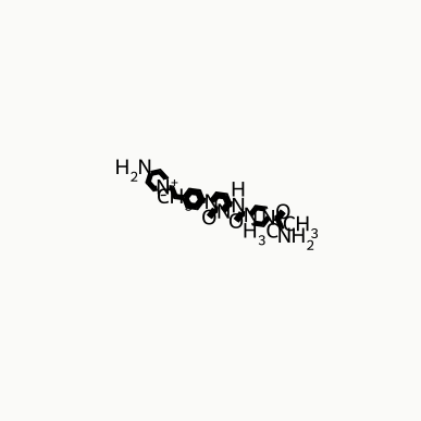 CC(C)(N)C(=O)N1CCN(C(=O)Nc2ccn(-c3ccc(CC[N+]4(C)CCC(N)CC4)cc3)c(=O)n2)CC1